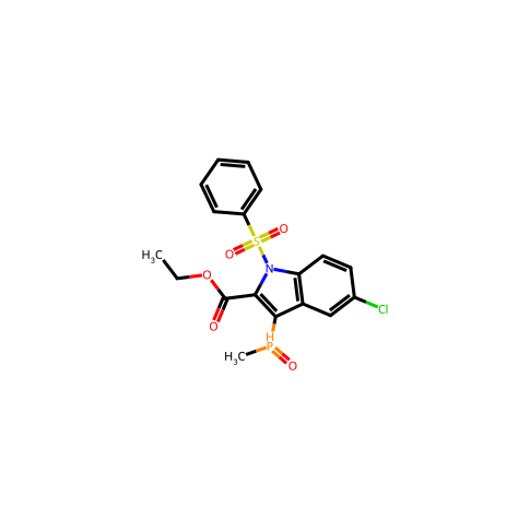 CCOC(=O)c1c([PH](C)=O)c2cc(Cl)ccc2n1S(=O)(=O)c1ccccc1